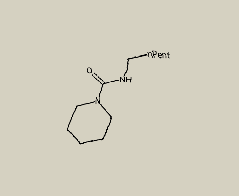 CCCCCCNC(=O)N1CCCCC1